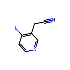 N#CCc1cnccc1I